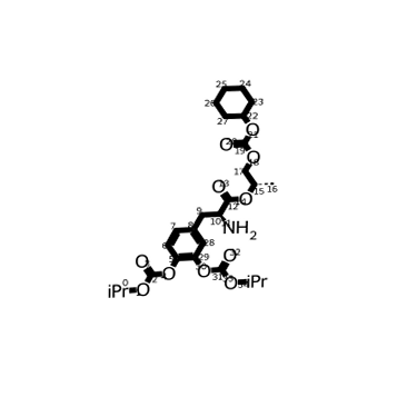 CC(C)OC(=O)Oc1ccc(C[C@H](N)C(=O)O[C@@H](C)COC(=O)OC2CCCCC2)cc1OC(=O)OC(C)C